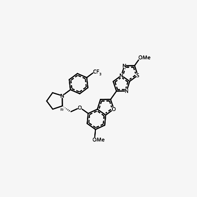 COc1cc(OC[C@@H]2CCCN2c2ccc(C(F)(F)F)cc2)c2cc(-c3cn4nc(OC)sc4n3)oc2c1